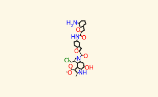 COC(=O)c1c(C)[nH]c2c(O)cc3c(c12)C(CCl)CN3C(=O)c1cc2cc(NC(=O)c3cc4cccc(N)c4o3)ccc2o1